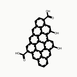 O=C(O)c1ccc2cc3cc4cc(C(=O)O)c5cc6cccc7cc8c(O)cc9c%10c(O)cc1c2c%10c3c1c4c5c(c67)c8c91